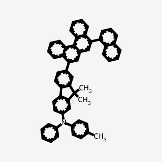 Cc1ccc(N(c2ccccc2)c2ccc3c(c2)C(C)(C)c2cc(-c4cc5cc(-c6cccc7ccccc67)c6ccccc6c5c5ccccc45)ccc2-3)cc1